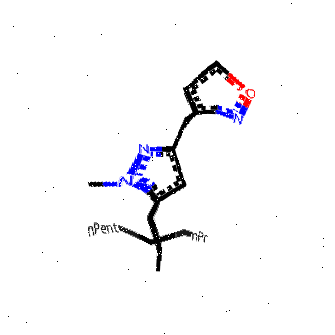 CCCCCC(C)(CCC)c1cc(-c2ccon2)nn1C